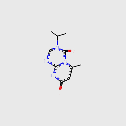 Cc1cc(=O)nc2ncn(C(C)C)c(=O)n12